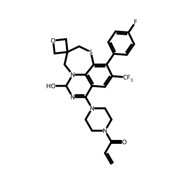 C=CC(=O)N1CCN(C2=NC(O)N3CC4(COC4)CSc4c(-c5ccc(F)cc5)c(C(F)(F)F)cc2c43)CC1